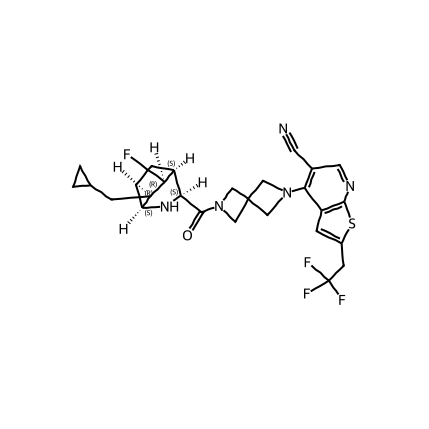 N#Cc1cnc2sc(CC(F)(F)F)cc2c1N1CC2(CN(C(=O)[C@H]3N[C@H]4CC[C@@H]3[C@H](F)[C@@H]4CC3CC3)C2)C1